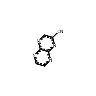 N#Cc1cnc2nccnc2n1